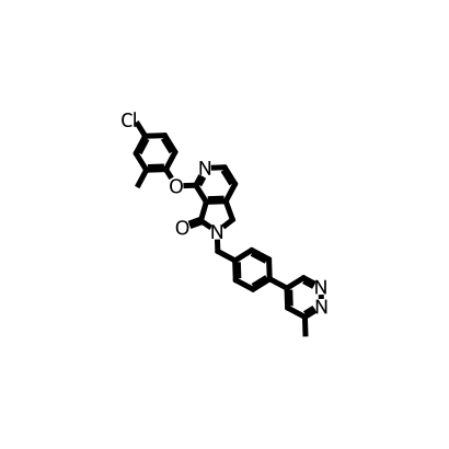 Cc1cc(-c2ccc(CN3Cc4ccnc(Oc5ccc(Cl)cc5C)c4C3=O)cc2)cnn1